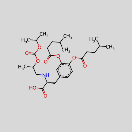 CC(C)CCC(=O)Oc1ccc(C[C@H](NCC(C)OC(=O)OC(C)C)C(=O)O)cc1OC(=O)CCC(C)C